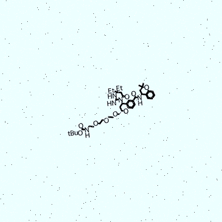 CCC1(CC)CC(=O)N([C@@H]2C[C@@H](COCCOCCOCCNC(=O)OC(C)(C)C)Oc3ccc(C(=O)N[C@H]4CC(C)(C)Oc5ccccc54)cc32)C(=N)N1